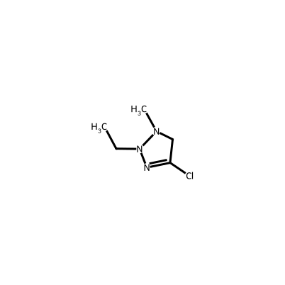 CCN1N=C(Cl)CN1C